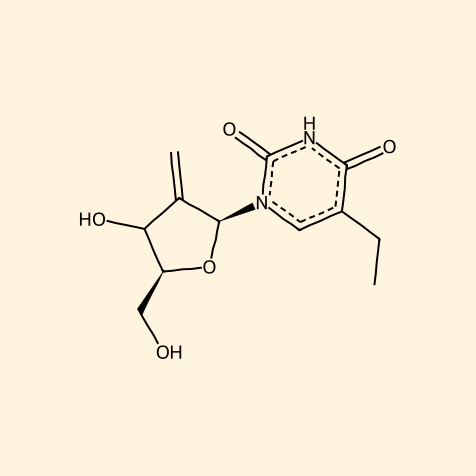 C=C1C(O)[C@H](CO)O[C@@H]1n1cc(CC)c(=O)[nH]c1=O